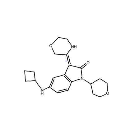 O=C1/C(=C2/COCCN2)c2cc(NC3CCC3)ccc2N1C1CCOCC1